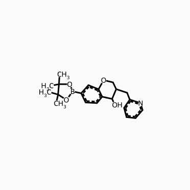 CC1(C)OB(c2ccc3c(c2)OCC(Cc2ccccn2)C3O)OC1(C)C